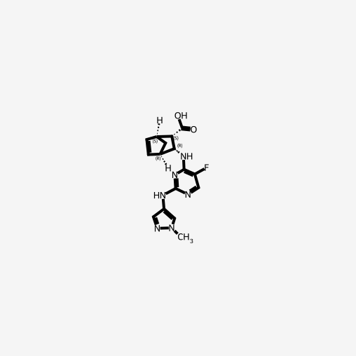 Cn1cc(Nc2ncc(F)c(N[C@H]3[C@@H](C(=O)O)[C@@H]4C=C[C@H]3C4)n2)cn1